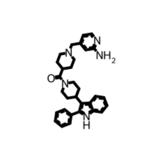 Nc1cc(CN2CCC(C(=O)N3CCC(c4c(-c5ccccc5)[nH]c5ccccc45)CC3)CC2)ccn1